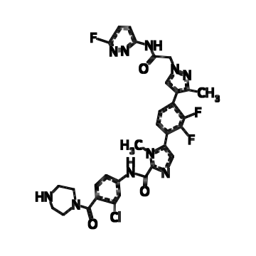 Cc1nn(CC(=O)Nc2ccc(F)nn2)cc1-c1ccc(-c2cnc(C(=O)Nc3ccc(C(=O)N4CCNCC4)c(Cl)c3)n2C)c(F)c1F